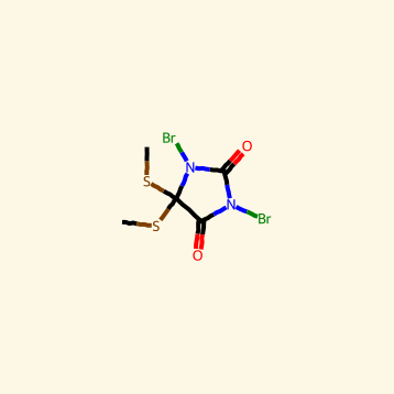 CSC1(SC)C(=O)N(Br)C(=O)N1Br